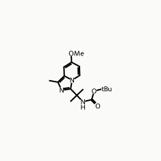 COc1ccn2c(C(C)(C)NC(=O)OC(C)(C)C)nc(C)c2c1